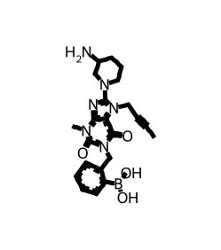 CC#CCn1c(N2CCCC(N)C2)nc2c1c(=O)n(Cc1ccccc1B(O)O)c(=O)n2C